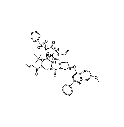 C=C[C@@]1(C(=O)[C@@H]2C[C@@H](Oc3cc(-c4ccccc4)nc4cc(OC)ccc34)CN2C(=O)[C@H](CNC(=O)C=CC)NC(=O)OC(C)(C)C)C[C@]1(N)C(=O)NS(=O)(=O)c1ccccc1